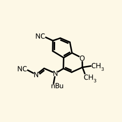 CCCCN(C=NC#N)C1=CC(C)(C)Oc2ccc(C#N)cc21